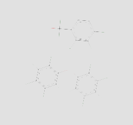 Clc1c(Cl)c(Cl)c(Oc2c(Cl)c(Cl)c(Cl)c(Cl)c2Cl)c(Cl)c1Cl.OC(Cl)(Cl)c1ccc(Cl)c(Cl)c1Cl